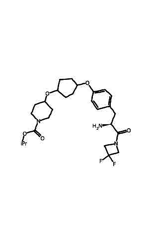 CC(C)OC(=O)N1CCC(OC2CCC(Oc3ccc(C[C@H](N)C(=O)N4CC(F)(F)C4)cc3)CC2)CC1